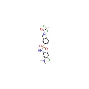 CN(C)c1cc(NS(=O)(=O)c2ccc3c(c2)CN(C(=O)C(C)(F)F)C3)ccc1F